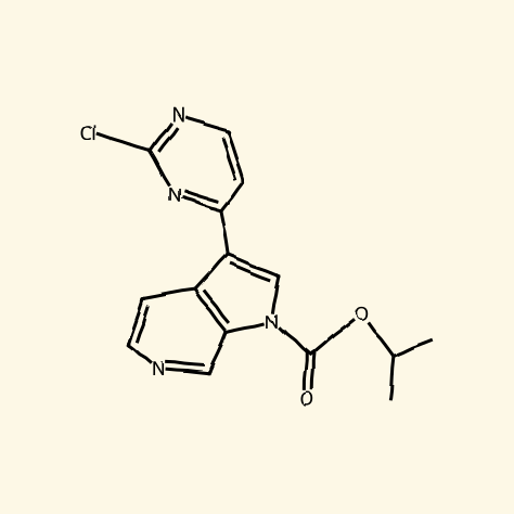 CC(C)OC(=O)n1cc(-c2ccnc(Cl)n2)c2ccncc21